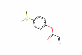 C=CC(=O)Oc1ccc([SH](C)C)cc1